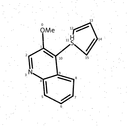 COc1cnc2ccccc2c1[SH]1C=CC=C1